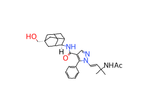 CC(=O)NC(C)(C)/C=C/n1ncc(C(=O)N[C@H]2C3CC4CC2C[C@](CO)(C4)C3)c1-c1ccccc1